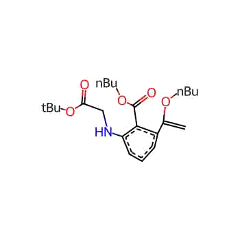 C=C(OCCCC)c1cccc(NCC(=O)OC(C)(C)C)c1C(=O)OCCCC